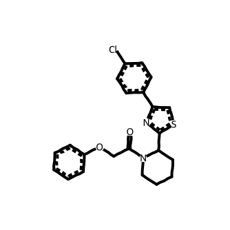 O=C(COc1ccccc1)N1CCCCC1c1nc(-c2ccc(Cl)cc2)cs1